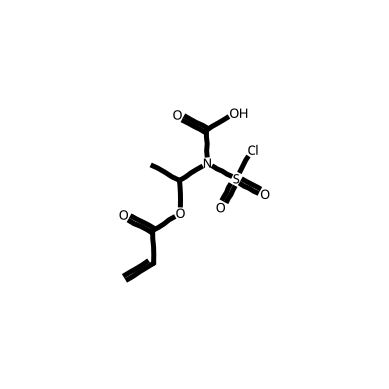 C=CC(=O)OC(C)N(C(=O)O)S(=O)(=O)Cl